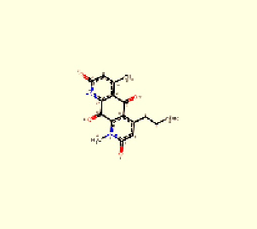 CCCCCCCCCCCCc1cc(=O)n(C)c2c1C(=O)c1c(C)cc(=O)[nH]c1C2=O